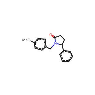 COc1ccc(CN2C(=O)CCC2c2ccccc2)cc1